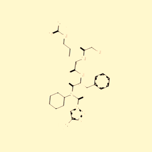 C[C@H](N)C(=O)N[C@@H](CCCNC(=N)N)C(=O)N[C@@H](Cc1ccccc1)C(=O)N(C(=O)n1cc(N)nn1)C1CCCCC1